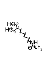 O=C(NCCCCCCC(CO)CO)C(F)(F)F